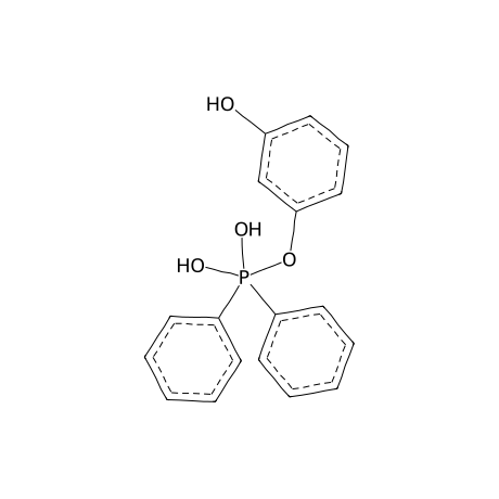 Oc1cccc(OP(O)(O)(c2ccccc2)c2ccccc2)c1